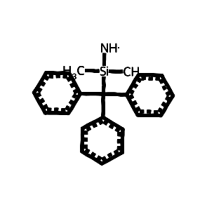 C[Si](C)([NH])C(c1ccccc1)(c1ccccc1)c1ccccc1